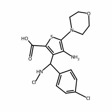 Nc1c(N2CCOCC2)sc(C(=O)O)c1C(NCl)c1ccc(Cl)cc1